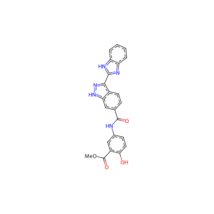 COC(=O)c1cc(NC(=O)c2ccc3c(-c4nc5ccccc5[nH]4)n[nH]c3c2)ccc1O